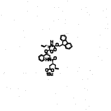 C=CCC(CC(=O)OC(C)(C)C)C(=O)NC[C@H](OC(=O)[C@H](CC=C)NC(=O)OCC1c2ccccc2-c2ccccc21)c1ccccc1